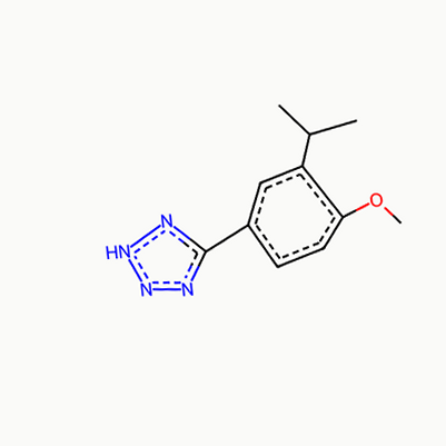 COc1ccc(-c2nn[nH]n2)cc1C(C)C